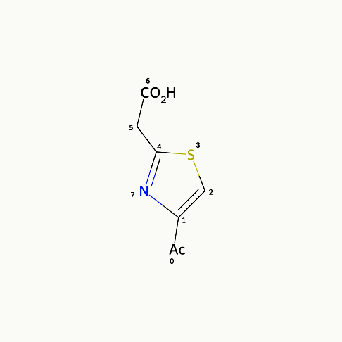 CC(=O)c1csc(CC(=O)O)n1